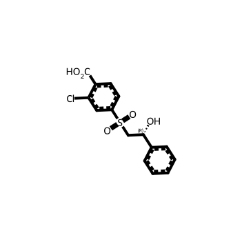 O=C(O)c1ccc(S(=O)(=O)C[C@H](O)c2ccccc2)cc1Cl